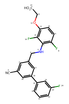 N#Cc1cc(CNc2c(F)ccc(OCC(=O)O)c2F)cc(-c2cccc(F)c2)c1